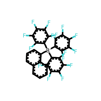 Fc1c(F)c(F)c([B-](c2c(F)c(F)c(F)c(F)c2F)(c2c(F)c(F)c(F)c(F)c2F)c2cccc3ccccc23)c(F)c1F